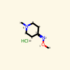 CON=C1CCN(C)CC1.Cl